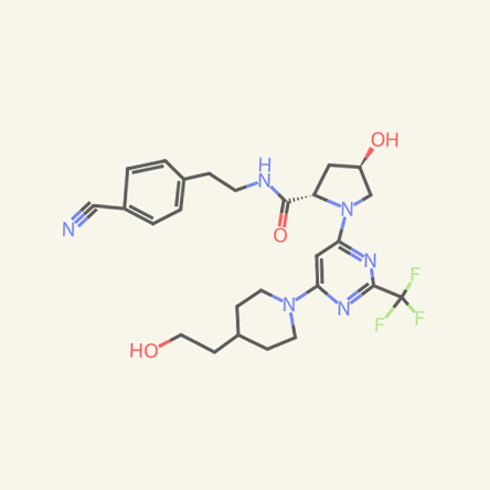 N#Cc1ccc(CCNC(=O)[C@@H]2C[C@@H](O)CN2c2cc(N3CCC(CCO)CC3)nc(C(F)(F)F)n2)cc1